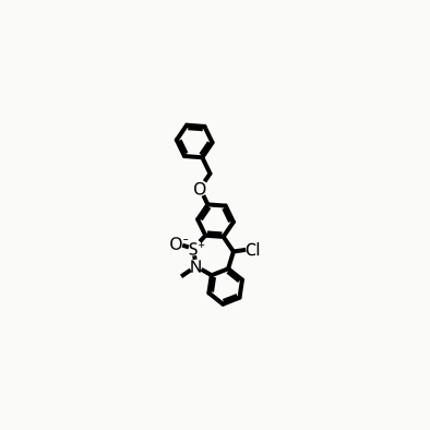 CN1c2ccccc2C(Cl)c2ccc(OCc3ccccc3)cc2[S+]1[O-]